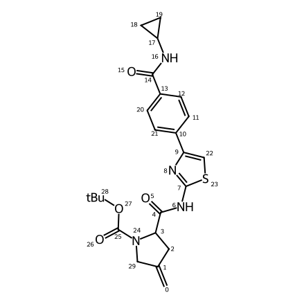 C=C1CC(C(=O)Nc2nc(-c3ccc(C(=O)NC4CC4)cc3)cs2)N(C(=O)OC(C)(C)C)C1